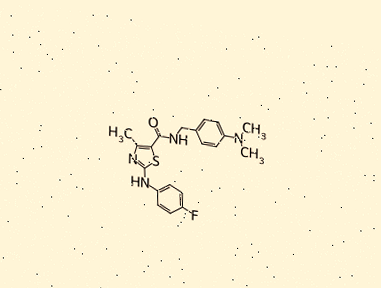 Cc1nc(Nc2ccc(F)cc2)sc1C(=O)NCc1ccc(N(C)C)cc1